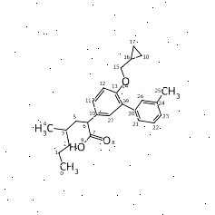 CCCC(C)CC(C(=O)O)c1ccc(OCC2CC2)c(-c2cccc(C)c2)c1